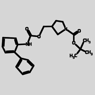 CC(C)(C)OC(=O)N1CCC(COC(=O)Nc2ccccc2-c2ccccc2)C1